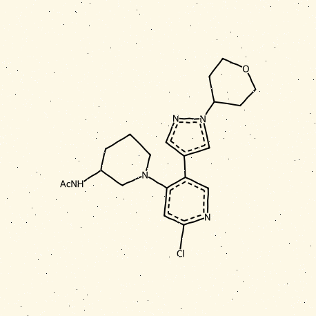 CC(=O)NC1CCCN(c2cc(Cl)ncc2-c2cnn(C3CCOCC3)c2)C1